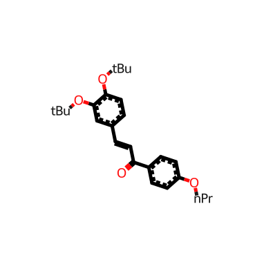 CCCOc1ccc(C(=O)C=Cc2ccc(OC(C)(C)C)c(OC(C)(C)C)c2)cc1